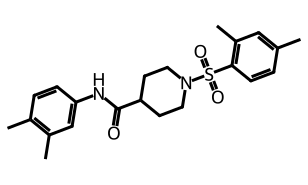 Cc1ccc(S(=O)(=O)N2CCC(C(=O)Nc3ccc(C)c(C)c3)CC2)c(C)c1